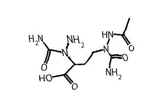 CC(=O)NN(CCC(C(=O)O)N(N)C(N)=O)C(N)=O